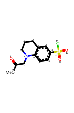 COC(=O)CN1CCCc2cc(S(=O)(=O)Cl)ccc21